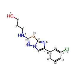 OCCCNc1nn2cc(-c3cccc(Cl)c3)nc2s1